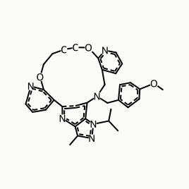 COc1ccc(CN2Cc3cccnc3OCCCCOc3ncccc3-c3cc2c2c(n3)c(C)nn2C(C)C)cc1